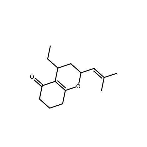 CCC1CC(C=C(C)C)OC2=C1C(=O)CCC2